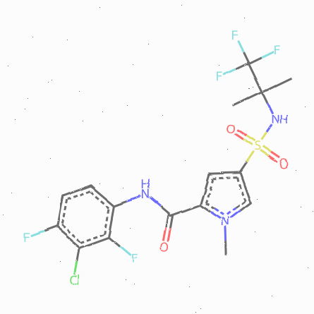 Cn1cc(S(=O)(=O)NC(C)(C)C(F)(F)F)cc1C(=O)Nc1ccc(F)c(Cl)c1F